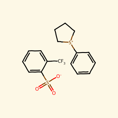 O=S(=O)([O-])c1ccccc1C(F)(F)F.c1ccc([S+]2CCCC2)cc1